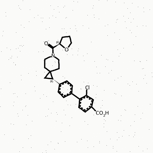 O=C(O)c1ccc(-c2ccc([C@@H]3CC34CCN(C(=O)[C@H]3CCCO3)CC4)cc2)c(Cl)c1